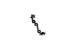 C=C(CC)CCc1ccc(C2CCC(CCCCC3CCC(CCC)CC3)CC2)cc1